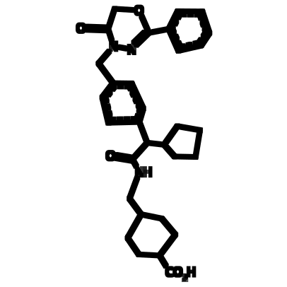 O=C(O)C1CCC(CNC(=O)C(c2ccc(CN3N=C(c4ccccc4)OCC3=O)cc2)C2CCCC2)CC1